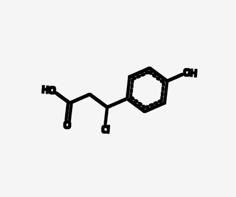 O=C(O)CC(Cl)c1ccc(O)cc1